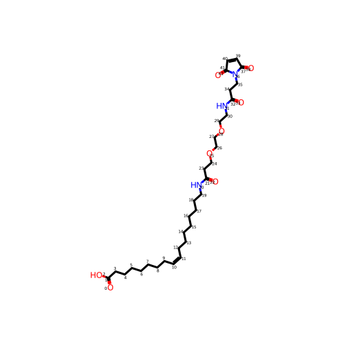 O=C(O)CCCCCCC/C=C\CCCCCCCCNC(=O)CCOCCOCCNC(=O)CCN1C(=O)C=CC1=O